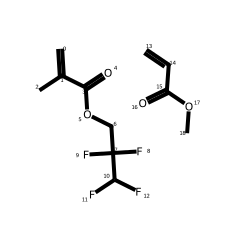 C=C(C)C(=O)OCC(F)(F)C(F)F.C=CC(=O)OC